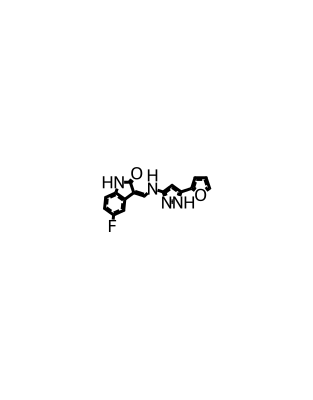 O=C1Nc2ccc(F)cc2C1=CNc1cc(-c2ccco2)[nH]n1